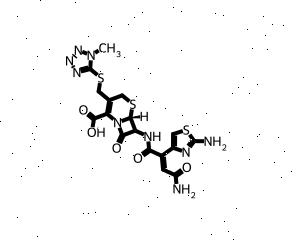 Cn1nnnc1SCC1=C(C(=O)O)N2C(=O)C(NC(=O)/C(=C/C(N)=O)c3csc(N)n3)[C@H]2SC1